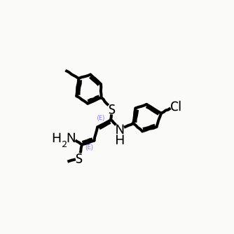 CS/C(N)=C/C=C(\Nc1ccc(Cl)cc1)Sc1ccc(C)cc1